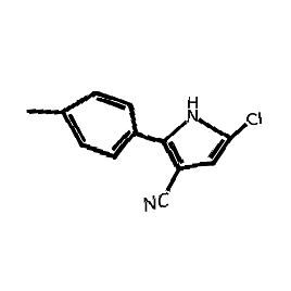 Cc1ccc(-c2[nH]c(Cl)cc2C#N)cc1